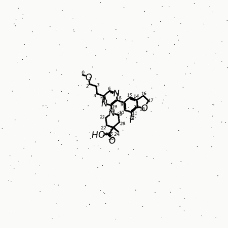 COCCCc1cnc(-c2cc(F)c3c(c2)CCO3)c(N2CCC(C)(C(=O)O)CC2)n1